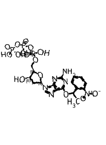 CC(Oc1nc(N)nc2c1ncn2[C@H]1C[C@@H](O)[C@@H](COP(=O)(O)OP(=O)(O)OP(=O)(O)O)O1)c1ccccc1[N+](=O)[O-]